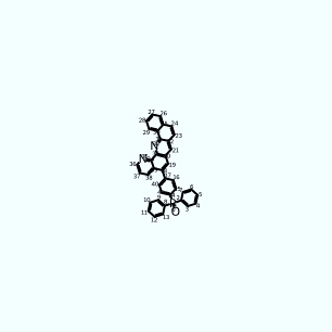 O=P(c1ccccc1)(c1ccccc1)c1ccc(-c2cc3cc4ccc5ccccc5c4nc3c3ncccc23)cc1